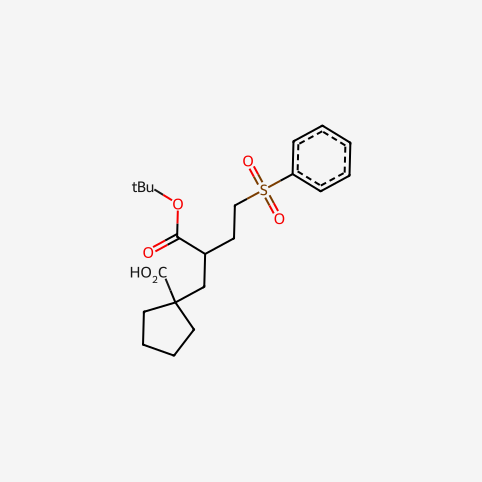 CC(C)(C)OC(=O)C(CCS(=O)(=O)c1ccccc1)CC1(C(=O)O)CCCC1